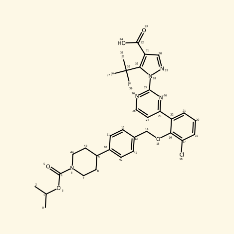 CC(C)OC(=O)N1CCC(c2ccc(COc3c(Cl)cccc3-c3ccnc(-n4ncc(C(=O)O)c4C(F)(F)F)n3)cc2)CC1